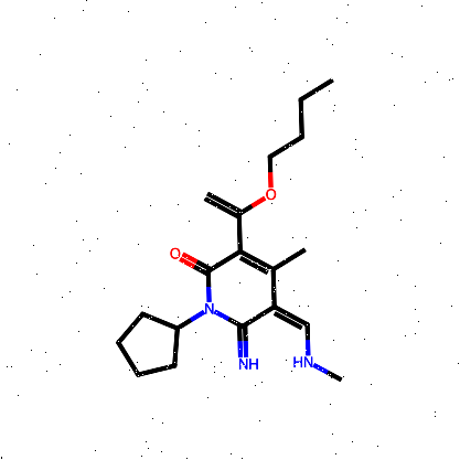 C=C(OCCCC)C1=C(C)/C(=C/NC)C(=N)N(C2CCCC2)C1=O